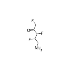 NCC(F)C(F)C(=O)CF